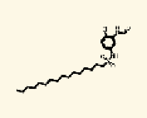 CCCCCCCCCCCCCCCCS(=O)(=O)Nc1ccc(Cl)c(N[C]=O)c1